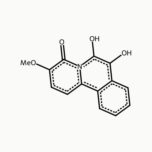 COc1ccc2c3ccccc3c(O)c(O)n2c1=O